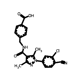 Cc1nn(-c2ccc(C#N)c(Cl)c2)c(C)c1C(=O)NCc1ccc(C(=O)O)cc1